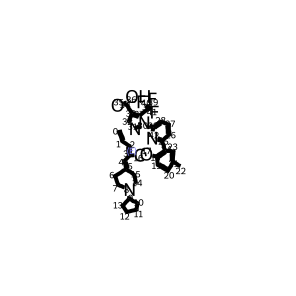 C=C/C=C(\C=C1CCN(C2CCCC2)CC1)COc1ccc(C)cc1-c1cccc(-n2ncc(C(=O)O)c2C(F)(F)F)n1